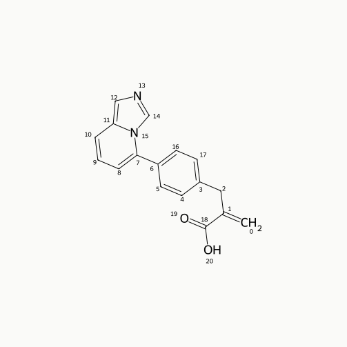 C=C(Cc1ccc(-c2cccc3cncn23)cc1)C(=O)O